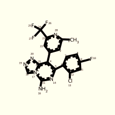 Cc1cc(-c2c(-c3ccc(F)cc3Cl)nc(N)n3cnnc23)cc(C(F)(F)F)n1